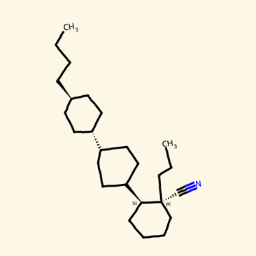 CCCC[C@H]1CC[C@H](C2CCC([C@@H]3CCCC[C@]3(C#N)CCC)CC2)CC1